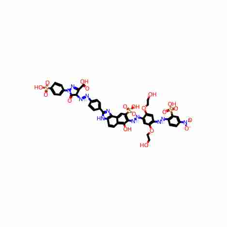 O=C(O)C1=NN(c2ccc(S(=O)(=O)O)cc2)C(=O)C1/N=N/c1ccc(-c2nc3c(ccc4c(O)c(/N=N/c5cc(OCCO)c(/N=N/c6ccc([N+](=O)[O-])cc6S(=O)(=O)O)cc5OCCO)c(S(=O)(=O)O)cc43)[nH]2)cc1